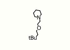 CC(C)(C)CCOCCN1CCCCC1